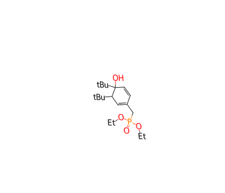 CCOP(=O)(CC1=CC(C(C)(C)C)C(O)(C(C)(C)C)C=C1)OCC